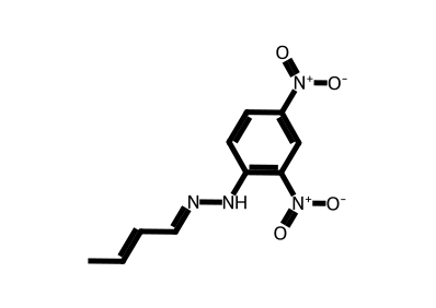 C/C=C/C=NNc1ccc([N+](=O)[O-])cc1[N+](=O)[O-]